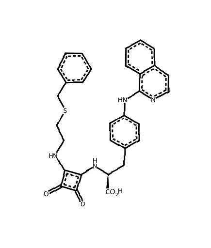 O=C(O)[C@H](Cc1ccc(Nc2nccc3ccccc23)cc1)Nc1c(NCCSCc2ccccc2)c(=O)c1=O